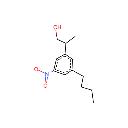 [CH2]C(CO)c1cc(CCCC)cc([N+](=O)[O-])c1